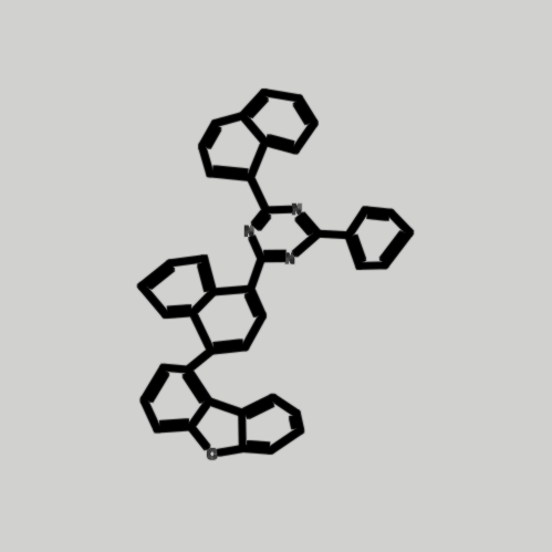 c1ccc(-c2nc(-c3cccc4ccccc34)nc(-c3ccc(-c4cccc5oc6ccccc6c45)c4ccccc34)n2)cc1